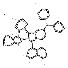 c1ccc(N(c2ccccc2)c2ccc3c(c2)c2c4ccccc4c4c5ccccc5sc4c2n3-c2cccc3ccccc23)cc1